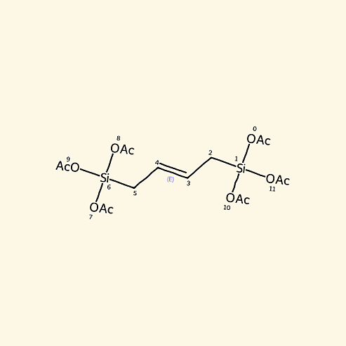 CC(=O)O[Si](C/C=C/C[Si](OC(C)=O)(OC(C)=O)OC(C)=O)(OC(C)=O)OC(C)=O